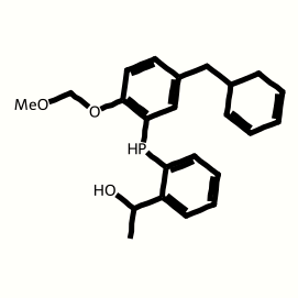 COCOc1ccc(CC2C=CC=CC2)cc1Pc1ccccc1C(C)O